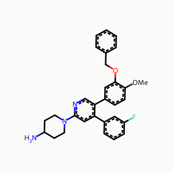 COc1ccc(-c2cnc(N3CCC(N)CC3)cc2-c2cccc(F)c2)cc1OCc1ccccc1